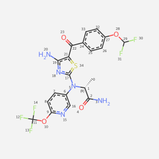 C[C@H](C(N)=O)N(c1ccc(OC(F)(F)F)nc1)c1nc(N)c(C(=O)c2ccc(OC(F)F)cc2)s1